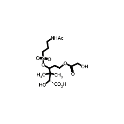 CC(=O)NCCCS(=O)(=O)OC(CCOC(=O)CO)C(C)(C)[C@@H](O)C(=O)O